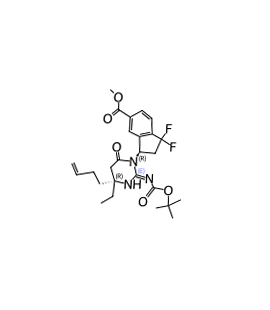 C=CCC[C@]1(CC)CC(=O)N([C@@H]2CC(F)(F)c3ccc(C(=O)OC)cc32)/C(=N/C(=O)OC(C)(C)C)N1